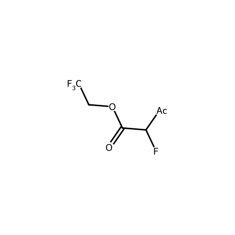 CC(=O)C(F)C(=O)OCC(F)(F)F